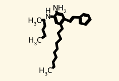 CCCCCCCCCCc1cc(NC(C)CCCC)c(N)cc1C=Cc1ccccc1